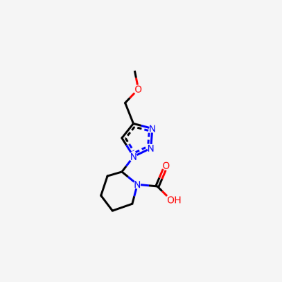 COCc1cn(C2CCCCN2C(=O)O)nn1